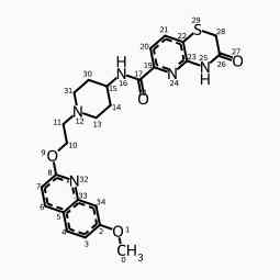 COc1ccc2ccc(OCCN3CCC(NC(=O)c4ccc5c(n4)NC(=O)CS5)CC3)nc2c1